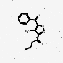 CCOC(=O)c1nsc(C(=O)c2ccccc2)c1N